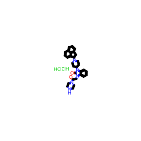 Cl.Cl.O=C(Cn1c(=O)n(C2CCN([C@@H]3Cc4cccc5cccc3c45)CC2)c2ccccc21)N1CCNCC1